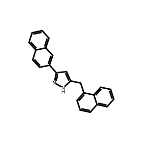 c1ccc2cc(-c3cc(Cc4cccc5ccccc45)[nH]n3)ccc2c1